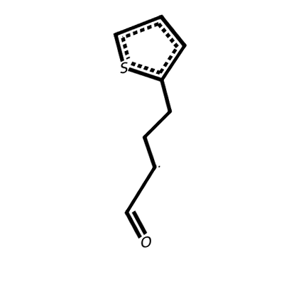 O=C[CH]CCc1cccs1